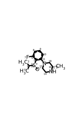 CC(C)[S@+]([O-])c1c(F)cccc1N1CCN[C@@H](C)C1